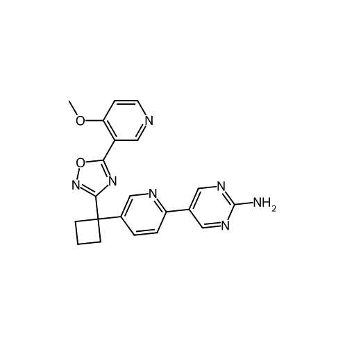 COc1ccncc1-c1nc(C2(c3ccc(-c4cnc(N)nc4)nc3)CCC2)no1